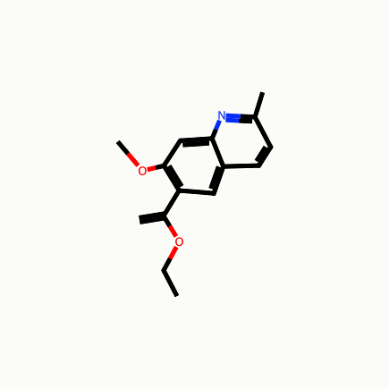 C=C(OCC)c1cc2ccc(C)nc2cc1OC